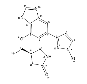 CCn1ccc(-c2cc(OC(C)[C@H]3CNC(=O)C3)c3scnc3c2)n1